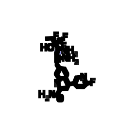 CC[C@@](O)(/C(N)=C/N(N)Cc1ccc2c(-c3ccc(F)nc3)cc(C(N)=O)nc2c1)C(F)(F)F